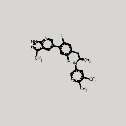 C=C(Cc1cc(F)c(-c2cnc3[nH]nc(C)c3c2)cc1F)Nc1cnc(C)c(C(F)(F)F)c1